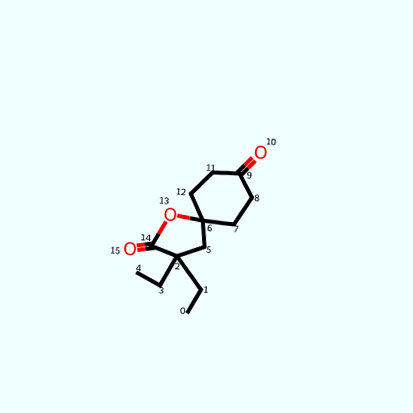 CCC1(CC)CC2(CCC(=O)CC2)OC1=O